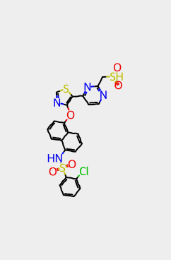 O=[SH](=O)Cc1nccc(-c2scnc2Oc2cccc3c(NS(=O)(=O)c4ccccc4Cl)cccc23)n1